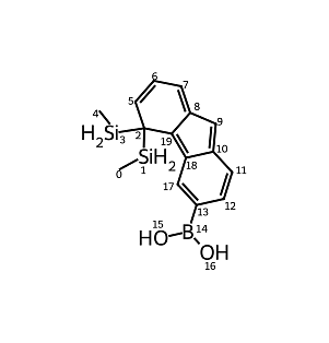 C[SiH2]C1([SiH2]C)C=CC=C2C=c3ccc(B(O)O)cc3=C21